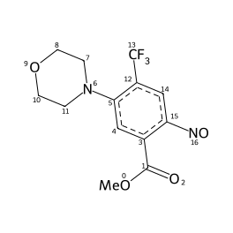 COC(=O)c1cc(N2CCOCC2)c(C(F)(F)F)cc1N=O